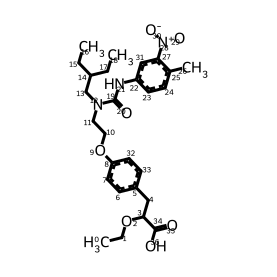 CCOC(Cc1ccc(OCCN(CC(CC)CC)C(=O)Nc2ccc(C)c([N+](=O)[O-])c2)cc1)C(=O)O